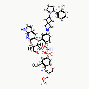 CC(C)OC[C@H]1COc2cc(S(=O)(=O)NC(=O)c3ccc(N4CC5(CC(N6CCC[C@H]6c6ccccc6C(C)C)C5)C4)cc3N3c4cc5cc[nH]c5nc4O[C@@H]4COC[C@H]43)cc([N+](=O)[O-])c2N1